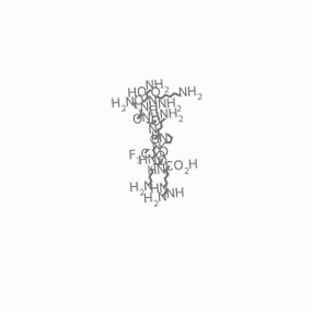 N=C(N)NCC/C=C(\NC(=O)[C@H](CCCCN)NC(=O)[C@H](CC(F)(F)F)NC(=O)[C@@H]1CCCN1C(=O)/C(CCCN)=N/C(=O)CNC(=O)[C@H](CCN)NC(=O)[C@@H](NC(=O)[C@@H](N)CCCCN)[C@@H](O)CN)C(=O)O